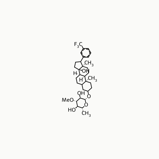 CO[C@@H]1[C@@H](O)[C@H](OC2CC[C@@]3(C)C(CC[C@@H]4[C@H]3CC[C@]3(C)C(c5cccc(C(F)(F)F)c5)CC[C@@]43O)C2)O[C@H](C)[C@H]1O